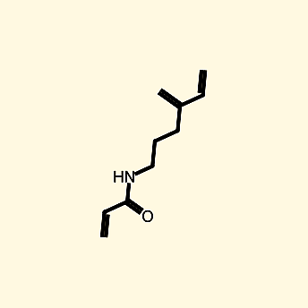 C=CC(=C)CCCNC(=O)C=C